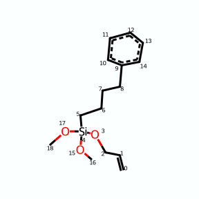 C=CCO[Si](CCCCc1ccccc1)(OC)OC